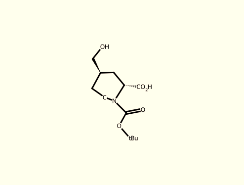 CC(C)(C)OC(=O)N1CC[C@@H](CO)C[C@@H]1C(=O)O